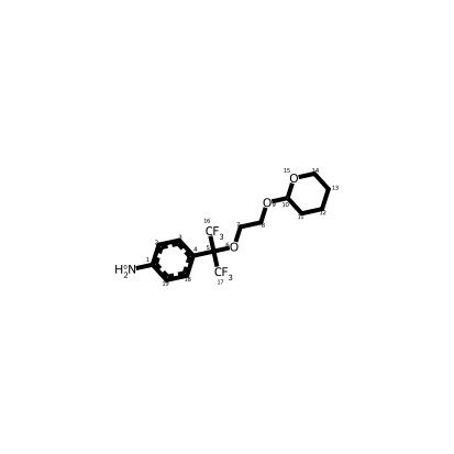 Nc1ccc(C(OCCOC2CCCCO2)(C(F)(F)F)C(F)(F)F)cc1